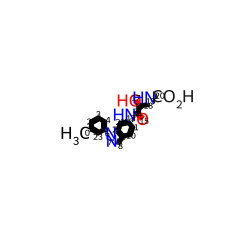 Cc1cccc(-n2ncc3ccc(NC(=O)C(O)CNC(=O)O)cc32)c1